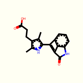 Cc1[nH]c(C2=C3C(=O)Nc4cccc2c43)c(C)c1CCC(=O)O